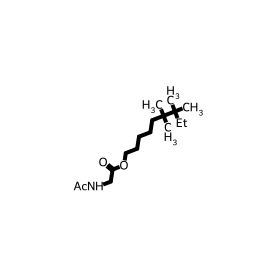 CCC(C)(C)C(C)(C)CCCCCOC(=O)CNC(C)=O